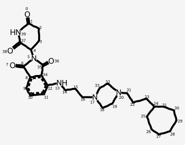 O=C1CCC(N2C(=O)c3cccc(NCCCN4CCN(CCCC5CCCCCCC5)CC4)c3C2=O)C(=O)N1